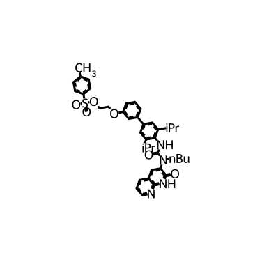 CCCCN(C(=O)Nc1c(C(C)C)cc(-c2cccc(OCCOS(=O)(=O)c3ccc(C)cc3)c2)cc1C(C)C)c1cc2cccnc2[nH]c1=O